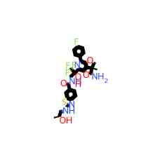 C[C@H](O)CNc1nc2ccc(C(=O)NCC(O)(c3cc4c(c(-c5ccc(F)cc5)n3)OC[C@]4(C)C(N)=O)C(F)(F)F)cc2s1